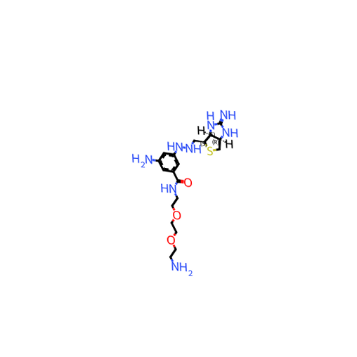 N=C1N[C@H]2[C@H](CS[C@H]2CNNc2cc(N)cc(C(=O)NCCOCCOCCN)c2)N1